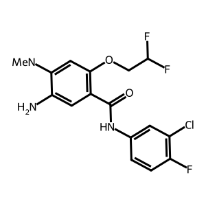 CNc1cc(OCC(F)F)c(C(=O)Nc2ccc(F)c(Cl)c2)cc1N